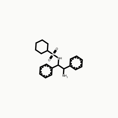 NC(c1ccccc1)C(NS(=O)(=O)C1CCCCC1)c1ccccc1